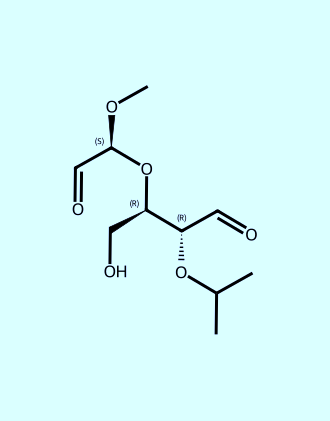 CO[C@H](C=O)O[C@H](CO)[C@H](C=O)OC(C)C